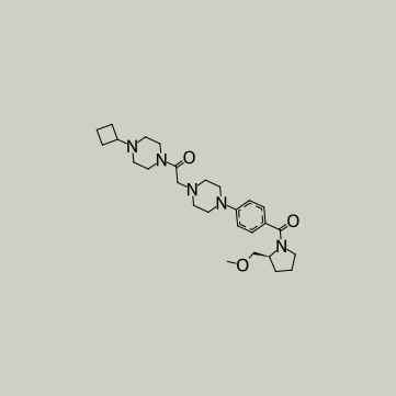 COC[C@@H]1CCCN1C(=O)c1ccc(N2CCN(CC(=O)N3CCN(C4CCC4)CC3)CC2)cc1